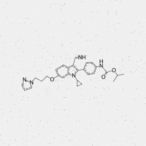 CC(C)OC(=O)Nc1ccc(-c2c(C=N)c3ccc(OCCCn4cccn4)cc3n2C2CC2)cc1